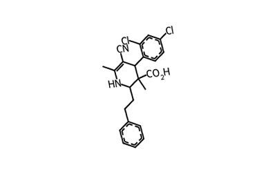 CC1=C(C#N)C(c2ccc(Cl)cc2Cl)C(C)(C(=O)O)C(CCc2ccccc2)N1